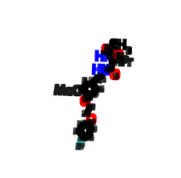 COc1cc(CCNC(=O)[C@@H](NS(C)(=O)=O)C(C)C)ccc1OCCOc1ccc(F)cc1